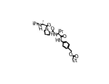 CCC(=O)OCc1ccc(NC(=O)[C@@H](NC(=O)[C@@H]2CCCN2C(=O)[C@@H](C)NC(C)C)C(C)C)cc1